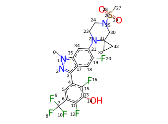 Cn1nc(-c2cc(C(F)(F)F)c(F)c(O)c2F)c2cc(F)c(N3CCN(S(C)(=O)=O)CC34CC4)cc21